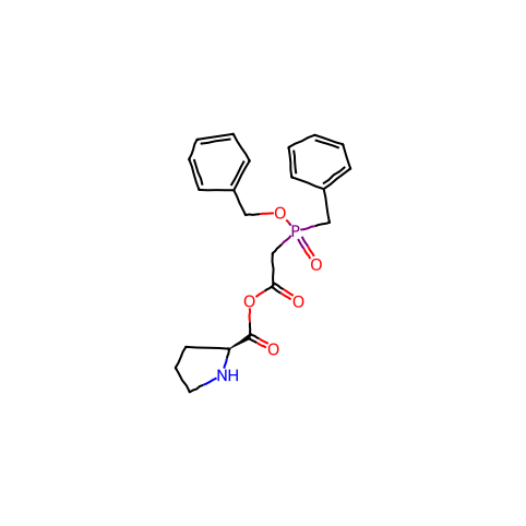 O=C(CP(=O)(Cc1ccccc1)OCc1ccccc1)OC(=O)[C@@H]1CCCN1